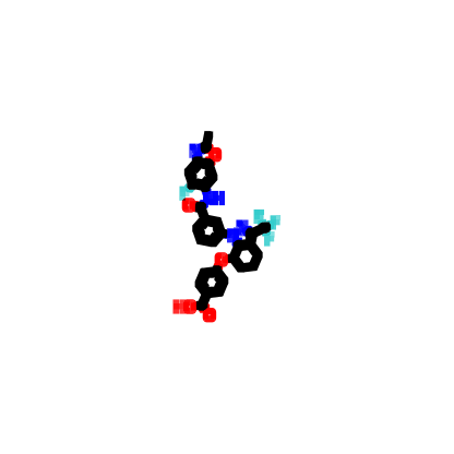 Cc1nc2cc(F)c(NC(=O)c3cccc(-n4nc(C(F)(F)F)c5c4C(Oc4ccc(C(=O)O)cc4)CCC5)c3)cc2o1